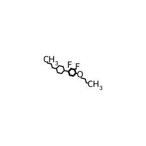 CCCCOc1ccc(C2CCC(CCCC)CC2)c(F)c1F